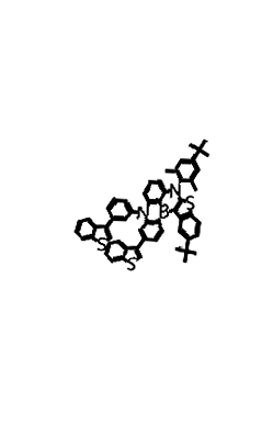 Cc1cc(C(C)(C)C)cc(C)c1N1c2cccc3c2B(c2ccc(-c4csc5ccccc45)cc2N3c2cccc(-c3csc4ccccc34)c2)c2c1sc1ccc(C(C)(C)C)cc21